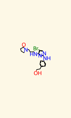 O=C1CCCN1CCCNc1nc(Nc2ccc(CCO)cc2)ncc1Br